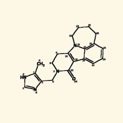 Cc1[nH]cnc1CN1CCc2c(c3cccc4c3n2CCCC4)C1=O